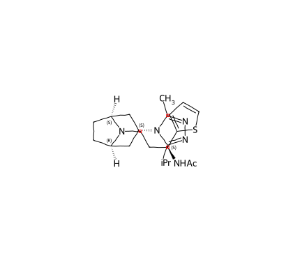 CC(=O)N[C@@H](CCN1[C@@H]2CC[C@H]1C[C@H](n1c(C)nnc1C(C)C)C2)c1cccs1